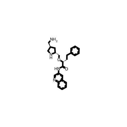 NC[C@@H]1CN[C@@H](CO[C@H](CCc2ccccc2)C(=O)Nc2cnc3ccccc3c2)C1